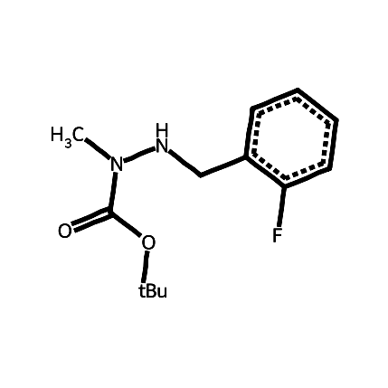 CN(NCc1ccccc1F)C(=O)OC(C)(C)C